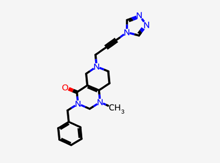 CN1CN(Cc2ccccc2)C(=O)C2=C1CCN(CC#Cn1cnnc1)C2